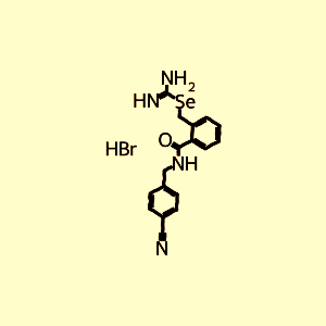 Br.N#Cc1ccc(CNC(=O)c2ccccc2C[Se]C(=N)N)cc1